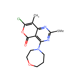 CSc1nc(N2CCCOCC2)c2c(=O)oc(Cl)c(C)c2n1